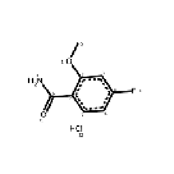 COc1cc(F)ccc1C(N)=O.Cl